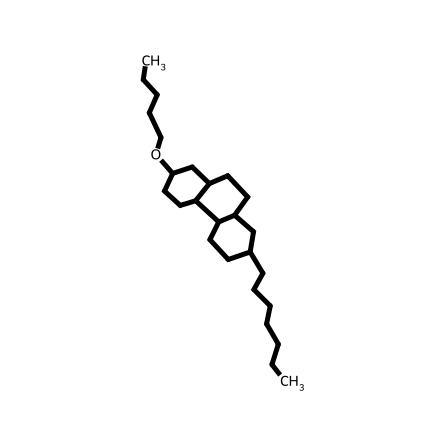 CCCCCCCC1CCC2C(CCC3CC(OCCCCC)CCC32)C1